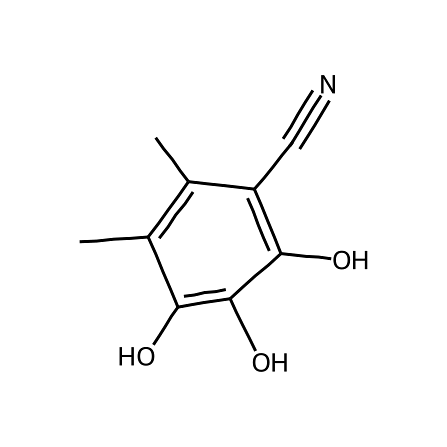 Cc1c(C)c(C#N)c(O)c(O)c1O